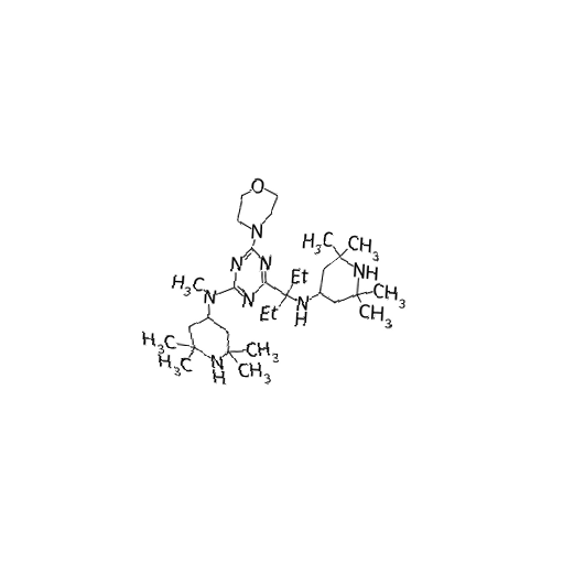 CCC(CC)(NC1CC(C)(C)NC(C)(C)C1)c1nc(N2CCOCC2)nc(N(C)C2CC(C)(C)NC(C)(C)C2)n1